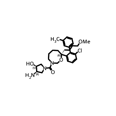 COCCCC[C@@]1(c2cccc(Cl)c2-c2cccc(C)c2)CCCCN(C(=O)N2C[C@@H](N)[C@@H](O)C2)CO1